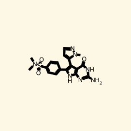 CN(C)S(=O)(=O)c1ccc(-c2[nH]c3nc(N)[nH]c(=O)c3c2-c2ccnn2C)cc1